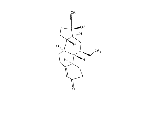 C#C[C@@]1(O)CC[C@H]2[C@@H]3CCC4=CC(=O)CC[C@@H]4[C@H]3[C@H](CC)C[C@@H]21